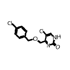 O=c1nc(COCc2ccc(Cl)cc2)c(Cl)c[nH]1